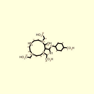 CCC(OC1CCC(C(=O)O)CC1)C1C(O)N(CC(=O)O)CCNCCN(CC(=O)O)CCN1CC(=O)O